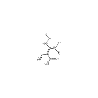 CCN/C(=C(\C=N)C(=O)O)C(F)F